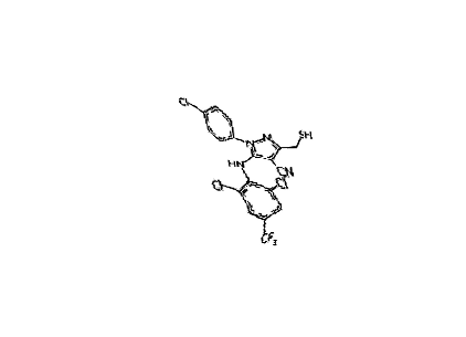 N#Cc1c(CS)nn(-c2ccc(Cl)cc2)c1Nc1c(Cl)cc(C(F)(F)F)cc1Cl